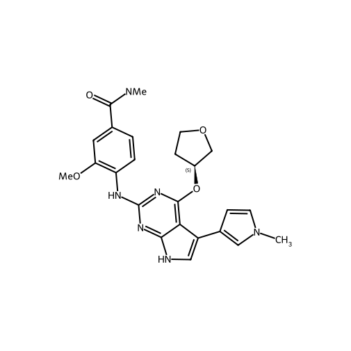 CNC(=O)c1ccc(Nc2nc(O[C@H]3CCOC3)c3c(-c4ccn(C)c4)c[nH]c3n2)c(OC)c1